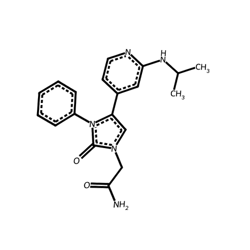 CC(C)Nc1cc(-c2cn(CC(N)=O)c(=O)n2-c2ccccc2)ccn1